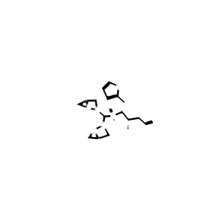 C=CC[C@@H](C)[C@@H](Cc1cccs1)S(=O)(=O)C(P1CC2CB21)P1CC2CB21